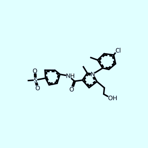 Cc1cc(Cl)ccc1-n1c(CCO)cc(C(=O)Nc2ccc(S(C)(=O)=O)cc2)c1C